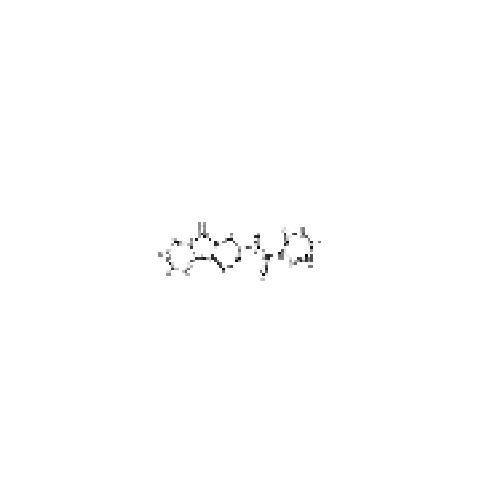 O=C(Nc1ccc2c(c1)[nH]c1ccccc12)c1cnccn1